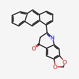 O=C1CC(c2cccc3cc4ccccc4cc23)=Nc2cc3c(cc21)OCO3